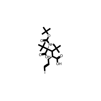 CC(C)(C)OC(=O)N[C@@](C(=O)O)(C([C@H](CC=CI)C(=O)O)C(C)(C)C)C(C)(C)C